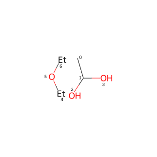 CC(O)O.CCOCC